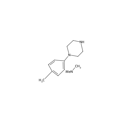 CNC.Cc1ccc(N2CCNCC2)cc1